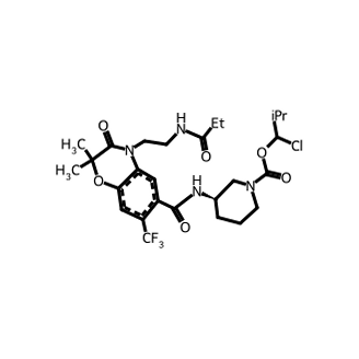 CCC(=O)NCCN1C(=O)C(C)(C)Oc2cc(C(F)(F)F)c(C(=O)N[C@@H]3CCCN(C(=O)OC(Cl)C(C)C)C3)cc21